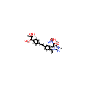 C=C(c1ccc(C#Cc2ccc(C(O)C(C)(C)O)cc2)cc1)N(C)[C@@](C)(C(=O)NC)C(=O)NO